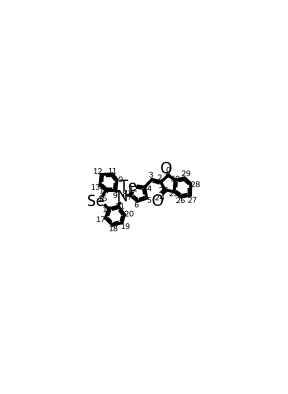 O=C1C(=Cc2ccc(N3c4ccccc4[Se]c4ccccc43)[te]2)C(=O)c2ccccc21